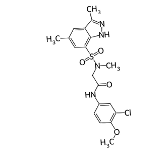 COc1ccc(NC(=O)CN(C)S(=O)(=O)c2cc(C)cc3c(C)n[nH]c23)cc1Cl